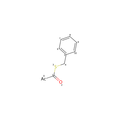 CC(=O)C(=O)SCc1ccccc1